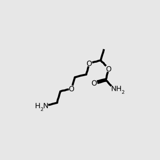 CC(OCCOCCN)OC(N)=O